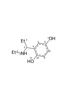 CCNC(CC)c1cc(O)ccc1O